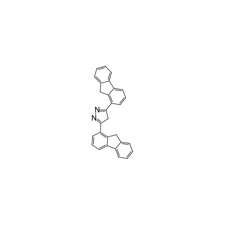 c1ccc2c(c1)Cc1c(C3=NN=C(c4cccc5c4Cc4ccccc4-5)C3)cccc1-2